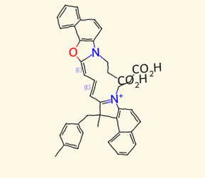 Cc1ccc(CC2(C)C(/C=C/C=C3/Oc4c(ccc5ccccc45)N3CCC(=O)O)=[N+](CCC(=O)O)c3ccc4ccccc4c32)cc1